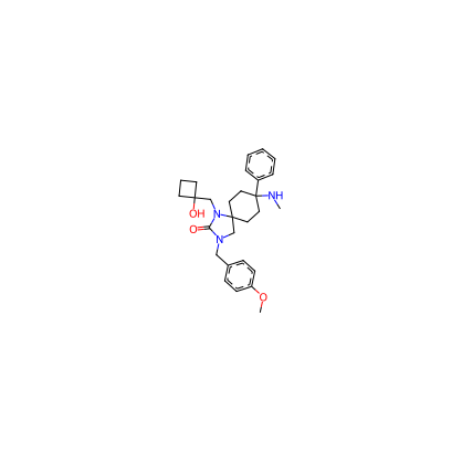 CNC1(c2ccccc2)CCC2(CC1)CN(Cc1ccc(OC)cc1)C(=O)N2CC1(O)CCC1